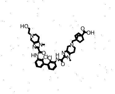 Cn1c(C(=O)Nc2cccc(-c3cccc(NC(=O)c4nc5c(n4C)CCN(CC46CCC(C(=O)O)(CC4)C6)C5)c3Cl)c2Cl)nc2c1CCN(CCO)C2